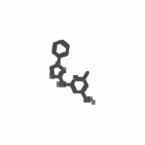 Cc1cc(N)cc(Nc2ncn(-c3ccccc3)n2)n1